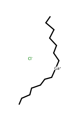 CCCCCC[CH2][Ga+][CH2]CCCCCC.[Cl-]